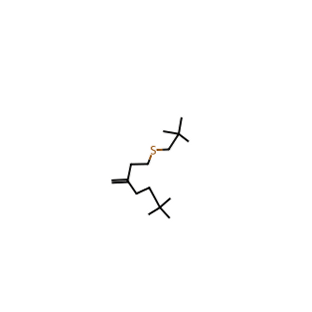 C=C(CCSCC(C)(C)C)CCC(C)(C)C